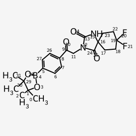 CC1(C)OB(c2ccc(C(=O)CN3C(=O)NC4(CCC(F)(F)CC4)C3=O)cc2)OC1(C)C